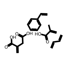 C=C(C)C(=O)O.C=C(CC(=O)O)C(=O)O.C=CC=C.C=Cc1ccccc1